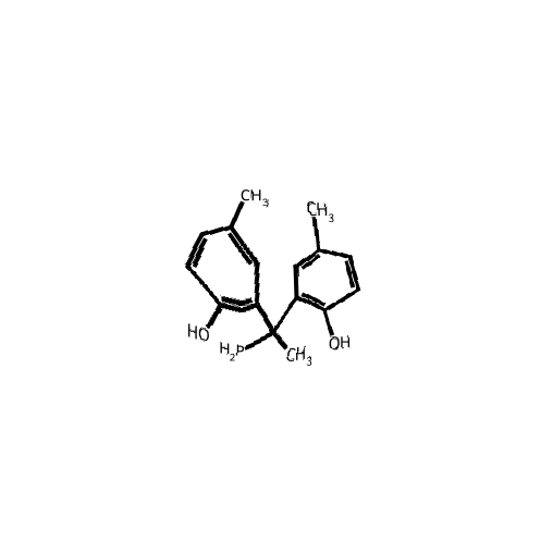 Cc1ccc(O)c(C(C)(P)c2cc(C)ccc2O)c1